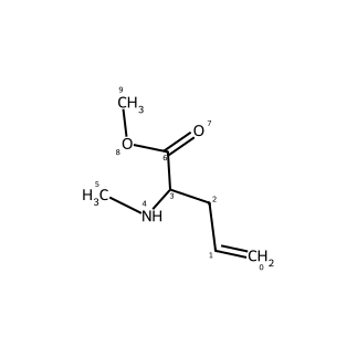 C=CCC(NC)C(=O)OC